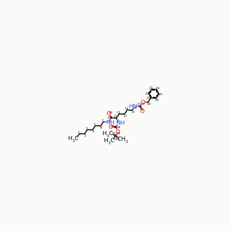 CCCCCCCCNC(=O)C(CCCCNC(=O)OCc1ccccc1)NC(=O)OC(C)(C)C